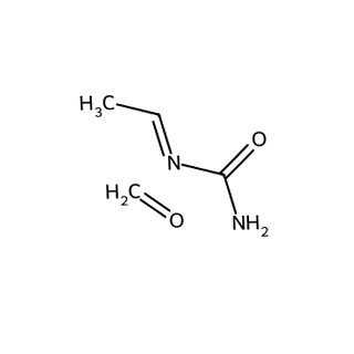 C=O.CC=NC(N)=O